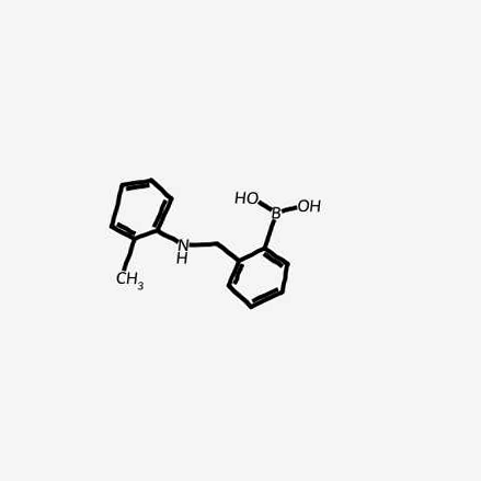 Cc1ccccc1NCc1ccccc1B(O)O